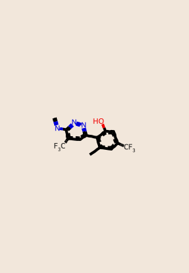 C=Nc1nnc(-c2c(C)cc(C(F)(F)F)cc2O)cc1C(F)(F)F